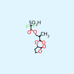 C=C(COC(=O)C(F)(F)S(=O)(=O)O)C(=O)OC1CCOC1=O